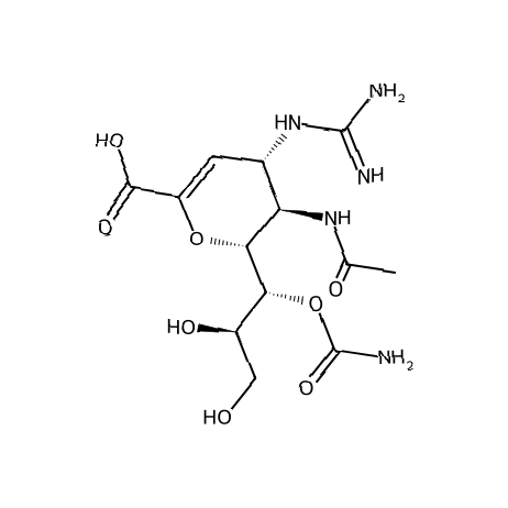 CC(=O)N[C@H]1[C@H]([C@H](OC(N)=O)[C@H](O)CO)OC(C(=O)O)=C[C@@H]1NC(=N)N